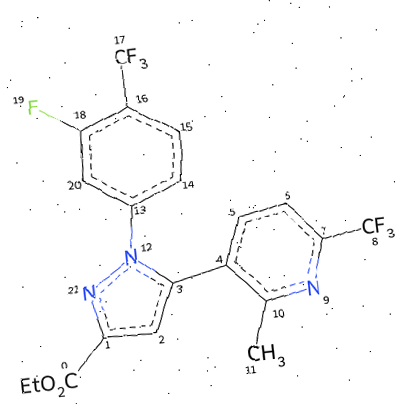 CCOC(=O)c1cc(-c2ccc(C(F)(F)F)nc2C)n(-c2ccc(C(F)(F)F)c(F)c2)n1